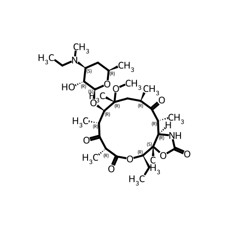 CC[C@H]1OC(=O)[C@H](C)C(=O)[C@H](C)[C@@H](O[C@@H]2O[C@H](C)C[C@H](N(C)CC)[C@H]2O)[C@](C)(OC)C[C@@H](C)C(=O)[C@H](C)[C@H]2NC(=O)O[C@@]21C